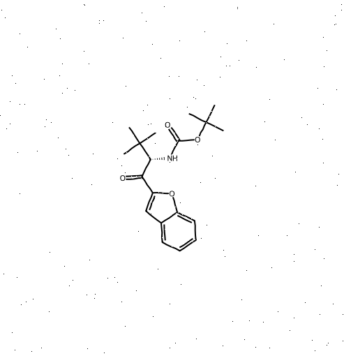 CC(C)(C)OC(=O)N[C@H](C(=O)c1cc2ccccc2o1)C(C)(C)C